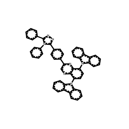 c1ccc(-c2nnc(-c3ccc(-c4cnc5c(-n6c7ccccc7c7ccccc76)ccc(-n6c7ccccc7c7ccccc76)c5n4)cc3)n2-c2ccccc2)cc1